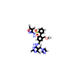 CCOCc1cc(CNc2nc(C)nc(C)c2[C@@H](C)n2ccnc2)ccc1-c1ccccc1S(=O)(=O)Nc1noc(C)c1C